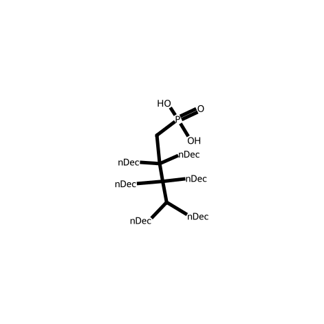 CCCCCCCCCC[C](CCCCCCCCCC)C(CCCCCCCCCC)(CCCCCCCCCC)C(CCCCCCCCCC)(CCCCCCCCCC)CP(=O)(O)O